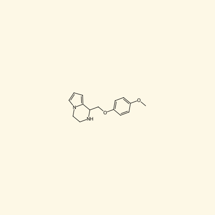 COc1ccc(OCC2NCCn3cccc32)cc1